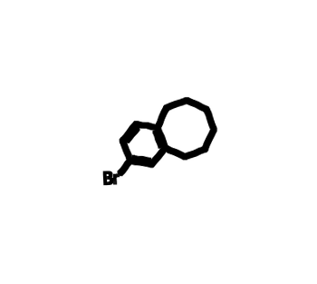 Brc1ccc2c(c1)CCCCCC2